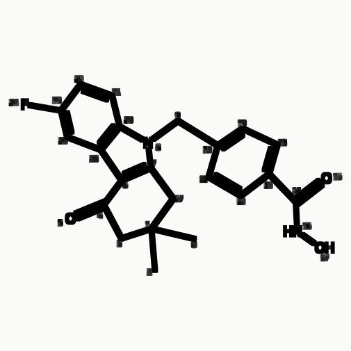 CC1(C)CC(=O)c2c(n(Cc3ccc(C(=O)NO)cc3)c3ccc(F)cc23)C1